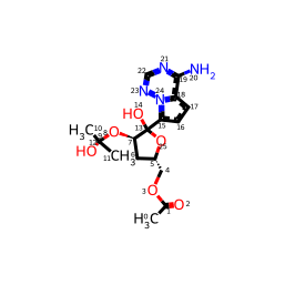 CC(=O)OC[C@@H]1C[C@@H](OC(C)(C)O)C(O)(c2ccc3c(N)ncnn23)O1